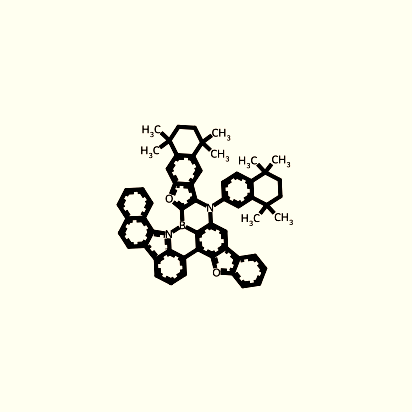 CC1(C)CCC(C)(C)c2cc(N3c4cc5c(oc6ccccc65)c5c4B(c4oc6cc7c(cc6c43)C(C)(C)CCC7(C)C)n3c4c-5cccc4c4ccc5ccccc5c43)ccc21